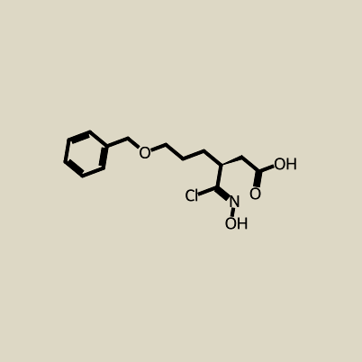 O=C(O)C[C@H](CCCOCc1ccccc1)C(Cl)=NO